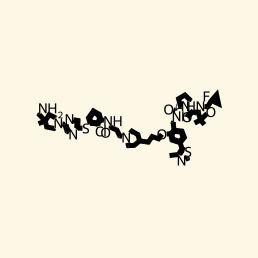 Cc1ncsc1-c1ccc(CNC(=O)[C@@H]2CCCN2C(=O)[C@@H](NC(=O)C2(F)CC2)C(C)(C)C)c(OCCCC2CCN(CCC(=O)Nc3cccc(Sc4cnc(N5CCC(C)(CN)CC5)cn4)c3Cl)CC2)c1